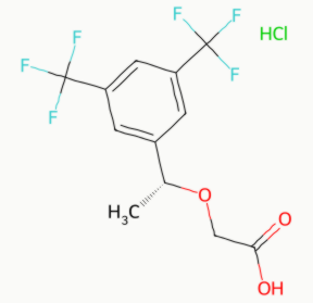 C[C@@H](OCC(=O)O)c1cc(C(F)(F)F)cc(C(F)(F)F)c1.Cl